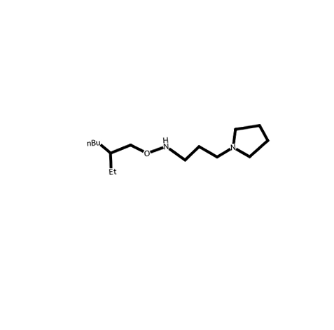 CCCCC(CC)CONCCCN1CCCC1